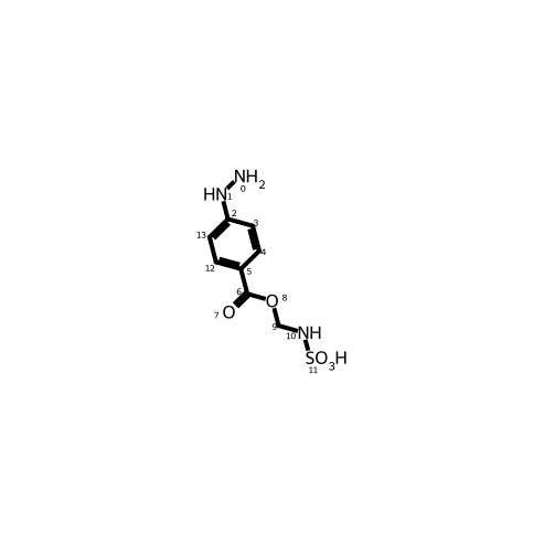 NNc1ccc(C(=O)OCNS(=O)(=O)O)cc1